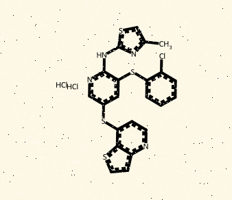 Cc1csc(Nc2ncc(Sc3ccnc4ccsc34)cc2Sc2ccccc2Cl)n1.Cl.Cl